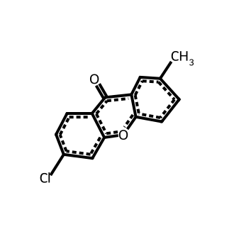 Cc1ccc2oc3cc(Cl)ccc3c(=O)c2c1